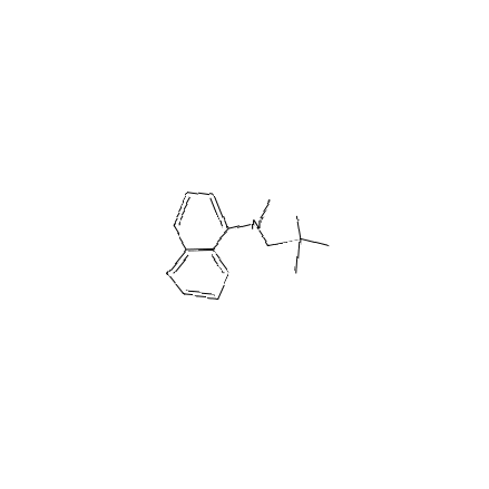 CN(CC(C)(C)C)c1cccc2ccccc12